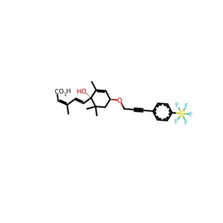 CC1=C[C@@H](OCC#Cc2ccc(S(F)(F)(F)(F)F)cc2)CC(C)(C)[C@@]1(O)/C=C/C(C)=C\C(=O)O